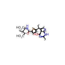 Cc1nc(O)c2c(C(C)c3ccc(C(=O)NC(C(=O)O)C(C)CC(=O)O)s3)cnc-2[nH]1